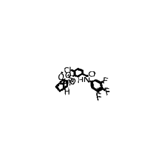 COC[C@@]1(O)C2CC[C@H]1C[C@H](S(=O)(=O)c1cc(C(=O)Nc3cc(F)c(F)c(F)c3)ccc1Cl)C2